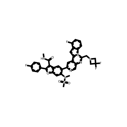 CNC(=O)c1c(-c2ccc(F)cc2)oc2cc(N(C)S(C)(=O)=O)c(-c3cc4c(cn3)nc(CN3CC(F)(F)C3)n3c5cccc(F)c5cc43)cc12